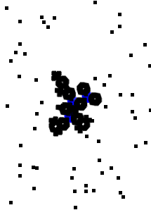 Cc1cc2c3c(c1)N(c1ccc4c(c1)C(C)(C)CCC4(C)C)c1cc4c(cc1B3c1ccc(N(c3ccccc3)c3ccccc3)cc1N2c1ccc2c(c1)C(C)(C)c1cc(C(C)(C)C)ccc1-2)C(C)(C)CCC4(C)C